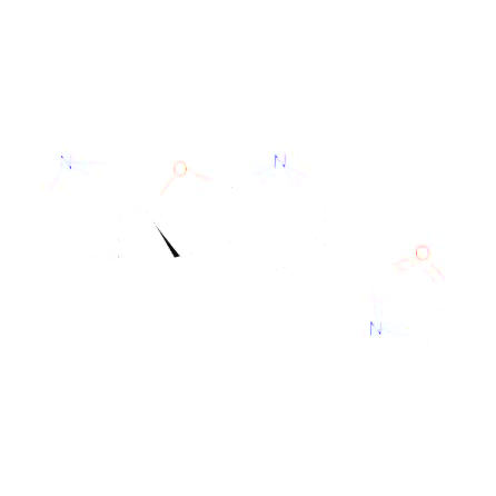 c1coc(-c2cnc3c(c2)C[C@@]2(CN4CCC2CC4)O3)n1